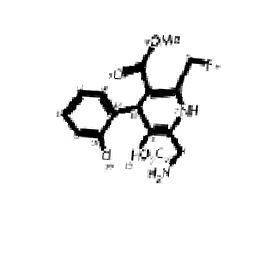 COC(=O)C1=C(CF)NC(CN)=C(C(=O)O)C1c1ccccc1Cl